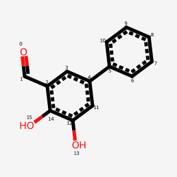 O=Cc1cc(-c2ccccc2)cc(O)c1O